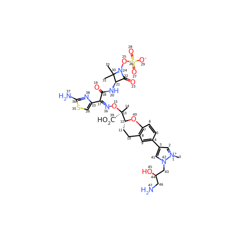 C[n+]1cc(-c2ccc3c(c2)CC[C@H]([C@](C)(O/N=C(\C(=O)N[C@@H]2C(=O)N(OS(=O)(=O)[O-])C2(C)C)c2csc(N)n2)C(=O)O)O3)cn1C[C@H](O)CN